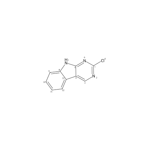 Clc1ncc2c(n1)[nH]c1ccccc12